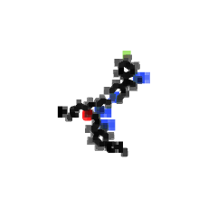 CCCC[C@@H](CCN1CCC(c2c[nH]c3cc(F)ccc23)CC1)NC(=O)c1cc2ccc(C)cc2[nH]1